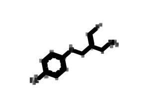 NCC(=CF)COc1ccc(C(F)(F)F)cc1